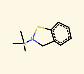 C[Si](C)(C)N1Cc2ccccc2S1